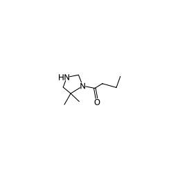 CCCC(=O)N1CNCC1(C)C